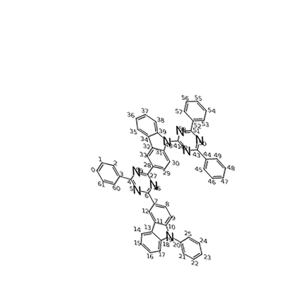 c1ccc(-c2nc(-c3ccc4c(c3)c3ccccc3n4-c3ccccc3)nc(-c3ccc4c(c3)c3ccccc3n4-c3nc(-c4ccccc4)nc(-c4ccccc4)n3)n2)cc1